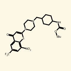 CC(C)(C)OC(=O)NC1CCC(CN2CCN(c3cc(=O)c4cc(C(F)(F)F)cc([N+](=O)[O-])c4s3)CC2)CC1